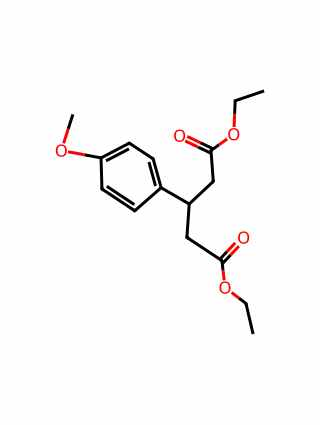 CCOC(=O)CC(CC(=O)OCC)c1ccc(OC)cc1